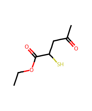 CCOC(=O)[C](S)CC(C)=O